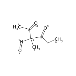 CCC(=O)C(C)(N=O)C(C)=O